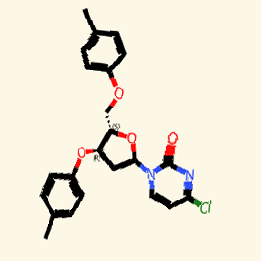 Cc1ccc(OC[C@@H]2OC(n3ccc(Cl)nc3=O)C[C@H]2Oc2ccc(C)cc2)cc1